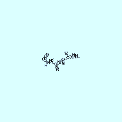 Cc1ccc(CN(C)C[C@H]2Cc3c(cc(Cc4cccnc4CN(C)CC[C@H]4Cc5c(cc(Cc6cc(C)cnc6CN(C)C[C@H]6Cc7c(cccc7N7CCOCC7)CN6)cc5N5CCOCC5)CN4)cc3N3CCOCC3)CN2)nc1